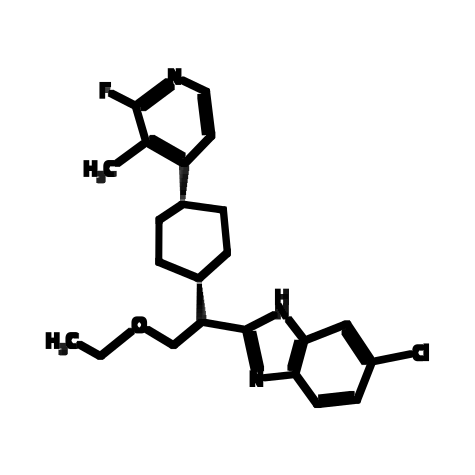 CCOCC(c1nc2ccc(Cl)cc2[nH]1)[C@H]1CC[C@@H](c2ccnc(F)c2C)CC1